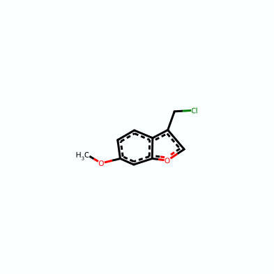 COc1ccc2c(CCl)coc2c1